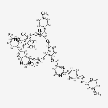 Cc1c(Cl)c2c(Cl)c(C)c1-c1c(-c3ccc(F)cc3)sc3ncnc(c13)O[C@@H](C(=O)O)Cc1cc(ccc1OCc1ccnc(-c3ccc(OC[C@H]4CN(C)CCO4)cc3)n1)OC[C@@H](CN1CCN(C)CC1)O2